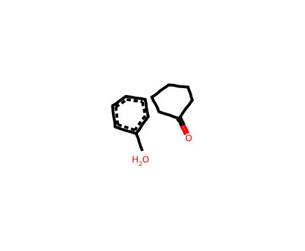 Cc1ccccc1.O.O=C1CCCCC1